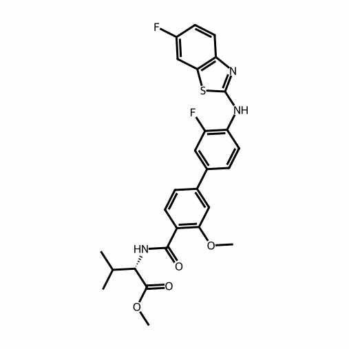 COC(=O)[C@@H](NC(=O)c1ccc(-c2ccc(Nc3nc4ccc(F)cc4s3)c(F)c2)cc1OC)C(C)C